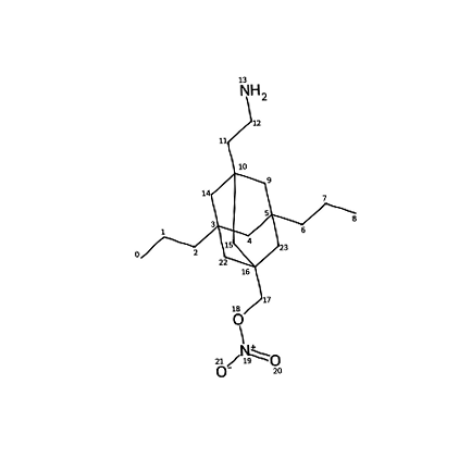 CCCC12CC3(CCC)CC(CCN)(C1)CC(CO[N+](=O)[O-])(C2)C3